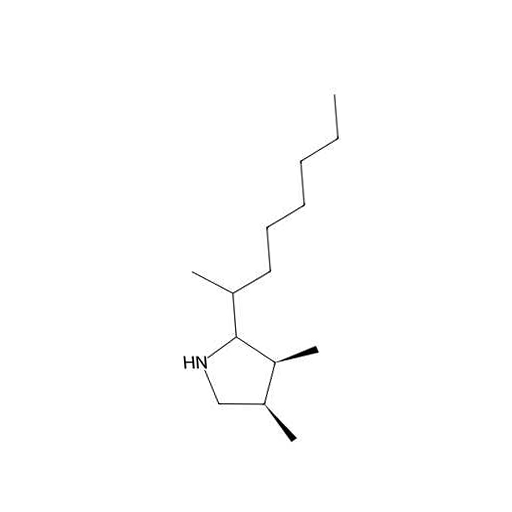 CCCCCCC(C)C1NC[C@H](C)[C@@H]1C